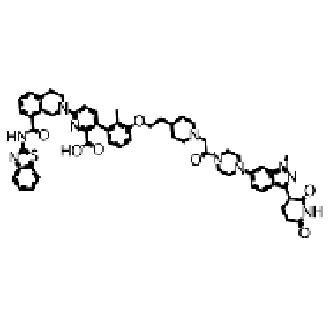 Cc1c(OCCC2CCN(CC(=O)N3CCN(c4ccc5c(C6CCC(=O)NC6=O)nn(C)c5c4)CC3)CC2)cccc1-c1ccc(N2CCc3cccc(C(=O)Nc4nc5ccccc5s4)c3C2)nc1C(=O)O